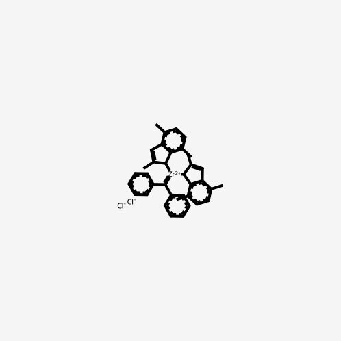 CC1=Cc2c(C)ccc(C)c2[CH]1[Zr+2](=[C](c1ccccc1)c1ccccc1)[CH]1C(C)=Cc2c(C)ccc(C)c21.[Cl-].[Cl-]